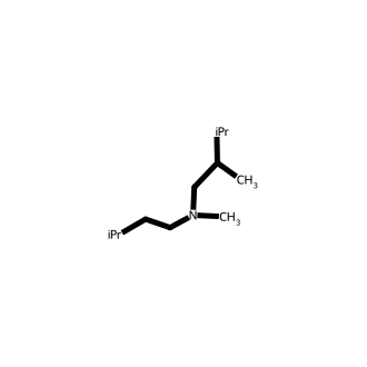 CC(C)CCN(C)CC(C)C(C)C